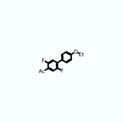 CCOc1ccc(-c2cc(F)c(C(C)=O)cc2F)cc1